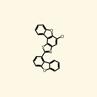 Clc1cc2nc(-c3cccc4oc5ccccc5c34)sc2c2c1oc1ccccc12